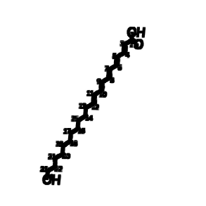 O=C(O)C=CC=CC=CC=CC=CCCCCCCCCCCCO